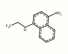 O=[N+]([O-])c1ccc(NCC(F)(F)F)c2ccccc12